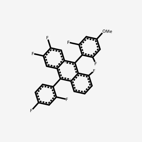 COc1cc(F)c(-c2c3cc(F)c(F)cc3c(-c3ccc(F)cc3F)c3cccc(F)c23)c(F)c1